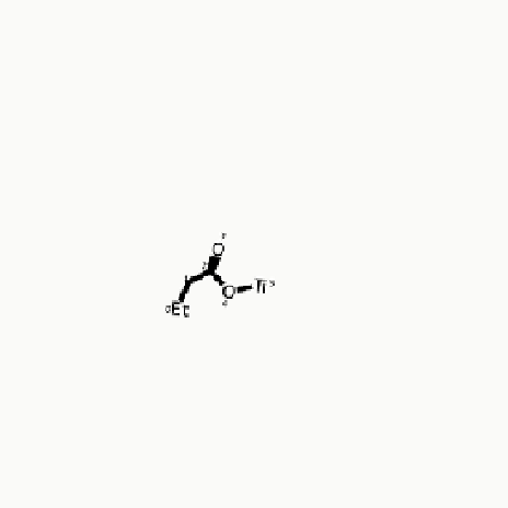 CCCC(=O)[O][Ti]